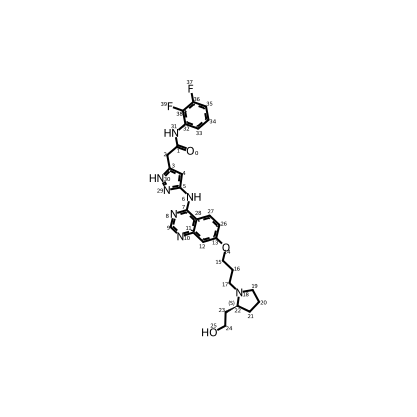 O=C(Cc1cc(Nc2ncnc3cc(OCCCN4CCC[C@H]4CCO)ccc23)n[nH]1)Nc1cccc(F)c1F